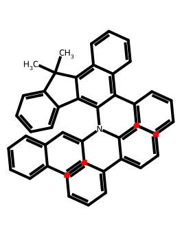 CC1(C)c2ccccc2-c2c(N(c3ccc4ccccc4c3)c3ccccc3-c3ccccc3)c(-c3ccccc3)c3ccccc3c21